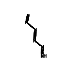 C=N/N=N/N=N